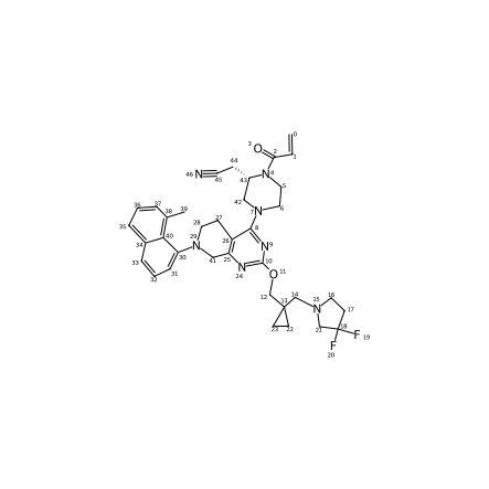 C=CC(=O)N1CCN(c2nc(OCC3(CN4CCC(F)(F)C4)CC3)nc3c2CCN(c2cccc4cccc(C)c24)C3)C[C@@H]1CC#N